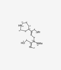 C/N=C(/CO)N(C/C=C(\CC(C)C)C1CCCNCC1)NC